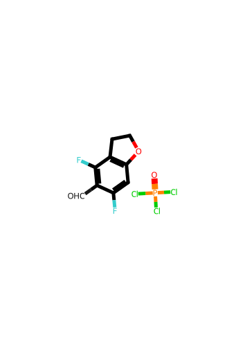 O=Cc1c(F)cc2c(c1F)CCO2.O=P(Cl)(Cl)Cl